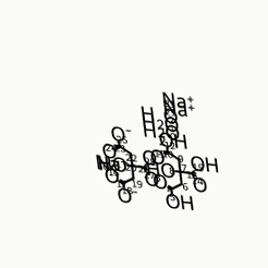 O.O.O.O=C(O)CC(O)(CC(=O)O)C(=O)O.O=C([O-])CC(O)(CC(=O)[O-])C(=O)[O-].[Na+].[Na+].[Na+]